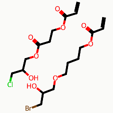 C=CC(=O)OCCC(=O)OCC(O)CCl.C=CC(=O)OCCCCOCC(O)CBr